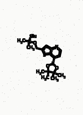 CC1(C)OB(c2ccnc3cc(CO[Si](C)(C)C(C)(C)C)sc23)OC1(C)C